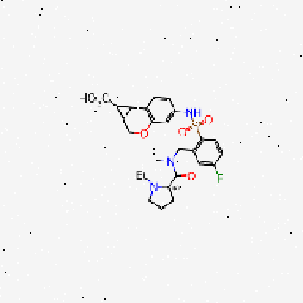 CCN1CCC[C@@H]1C(=O)N(C)Cc1cc(F)ccc1S(=O)(=O)Nc1ccc2c(c1)OCC1C(C(=O)O)C21